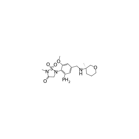 COc1cc(CN[C@]2(C)CCCOC2)cc(P)c1N1CC(=O)N(C)S1(=O)=O